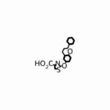 O=C(O)c1csc(Oc2ccc3c(c2)CCC(c2ccccc2)O3)n1